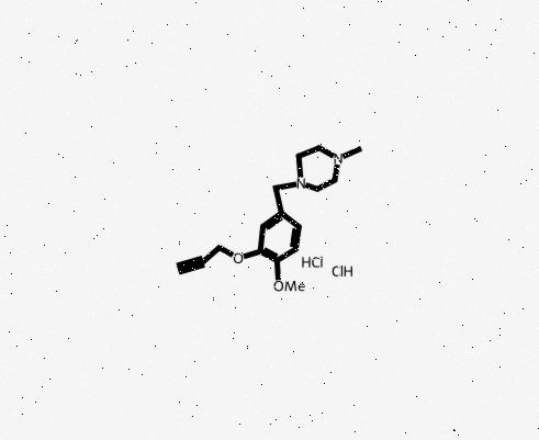 C#CCOc1cc(CN2CCN(C)CC2)ccc1OC.Cl.Cl